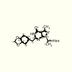 CCCCCCC(C)n1nc(C)c2c(=O)[nH]c(Cc3ccc4c(c3)OCO4)nc21